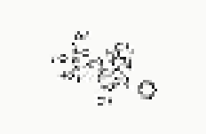 CC(=O)N[C@]1(O)[C@@H](OCc2ccccc2)O[C@H](CO)[C@H](O)[C@@H]1O[C@H]1C[C@@H](O)[C@@H](O)[C@@H](CO)O1